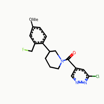 COc1ccc(C2CCCN(C(=O)c3cnnc(Cl)c3)C2)c(CF)c1